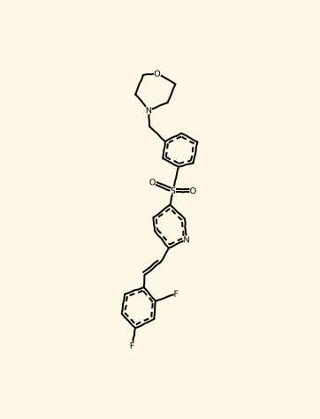 O=S(=O)(c1ccc(C=Cc2ccc(F)cc2F)nc1)c1cccc(CN2CCOCC2)c1